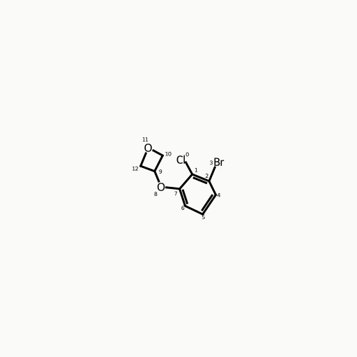 Clc1c(Br)cccc1OC1COC1